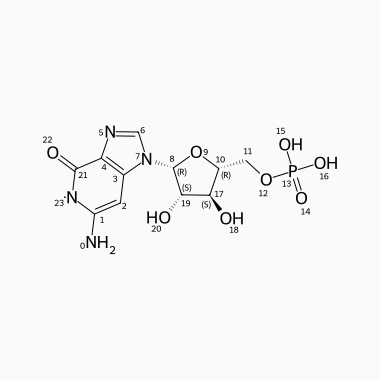 NC1=Cc2c(ncn2[C@@H]2O[C@H](COP(=O)(O)O)[C@@H](O)[C@@H]2O)C(=O)[N]1